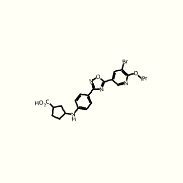 CC(C)Oc1ncc(-c2nc(-c3ccc(NC4CCC(C(=O)O)C4)cc3)no2)cc1Br